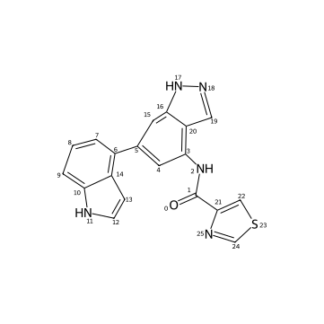 O=C(Nc1cc(-c2cccc3[nH]ccc23)cc2[nH]ncc12)c1cscn1